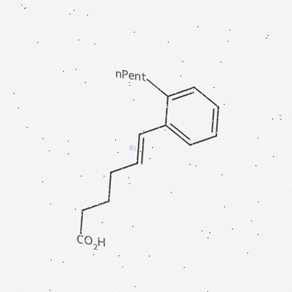 CCCCCc1ccccc1/C=C/CCCC(=O)O